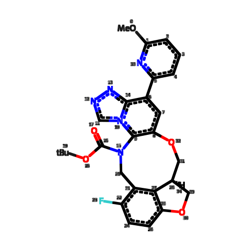 COc1cccc(-c2cc3c(n4cnnc24)N(C(=O)OC(C)(C)C)Cc2c(F)ccc4c2[C@H](CO4)CO3)n1